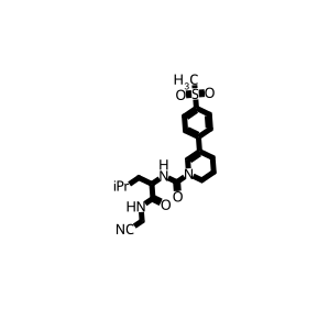 CC(C)CC(NC(=O)N1C=C(c2ccc(S(C)(=O)=O)cc2)CCC1)C(=O)NCC#N